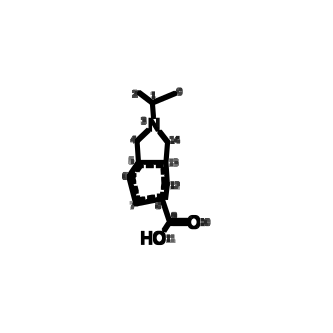 CC(C)N1Cc2ccc(C(=O)O)cc2C1